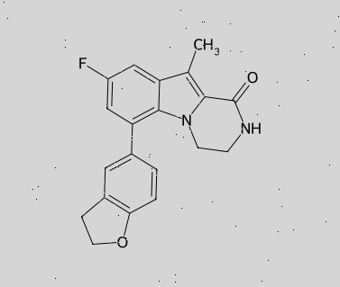 Cc1c2n(c3c(-c4ccc5c(c4)CCO5)cc(F)cc13)CCNC2=O